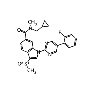 CN(CC1CC1)C(=O)c1ccc2c([S+](C)[O-])cn(-c3ncc(-c4ccccc4F)cn3)c2c1